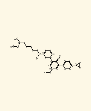 CCCOC(CCC)CCCCC[S+]([O-])c1cccc(-c2cn(CI)cc(-c3ccc(C4CC4)cc3)c2=O)c1